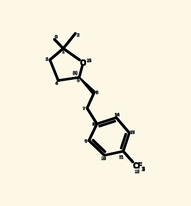 CC1(C)CC[C@H](CCc2ccc(C(F)(F)F)cc2)O1